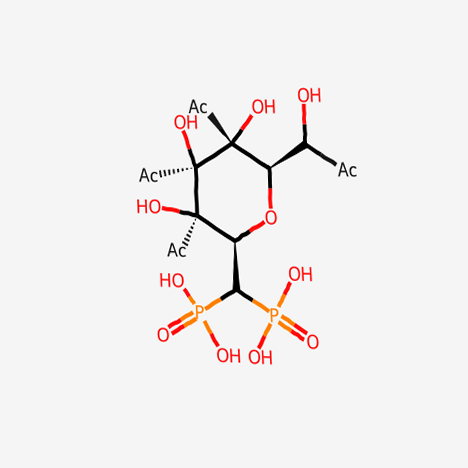 CC(=O)C(O)[C@H]1O[C@@H](C(P(=O)(O)O)P(=O)(O)O)[C@](O)(C(C)=O)[C@](O)(C(C)=O)[C@@]1(O)C(C)=O